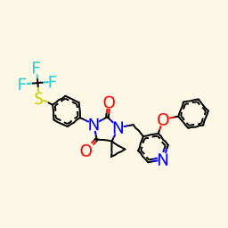 O=C1N(c2ccc(SC(F)(F)F)cc2)C(=O)C2(CC2)N1Cc1ccncc1Oc1ccccc1